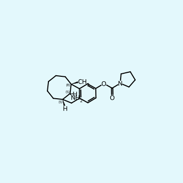 C[C@@]12CCCCC[C@@H](Cc3ccc(OC(=O)N4CCCC4)cc31)[C@@H]2N